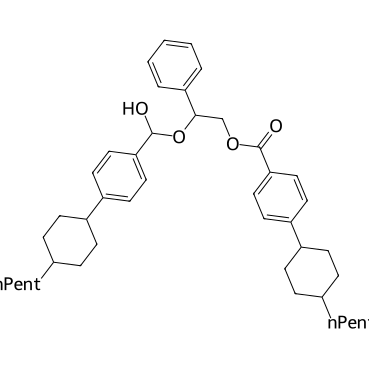 CCCCCC1CCC(c2ccc(C(=O)OCC(OC(O)c3ccc(C4CCC(CCCCC)CC4)cc3)c3ccccc3)cc2)CC1